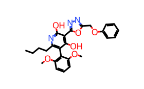 CCCCc1nc(O)c(-c2nnc(COc3ccccc3)o2)c(O)c1-c1c(OC)cccc1OC